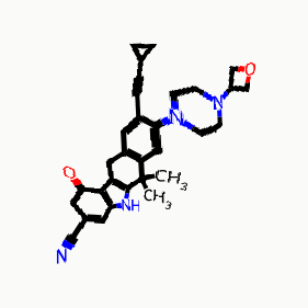 CC1(C)c2cc(N3CCN(C4COC4)CC3)c(C#CC3CC3)cc2Cc2c1[nH]c1c2C(=O)CC(C#N)=C1